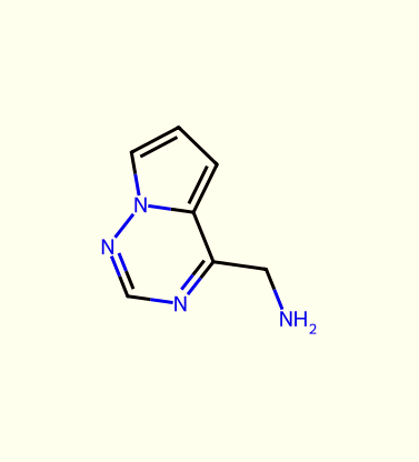 NCc1ncnn2cccc12